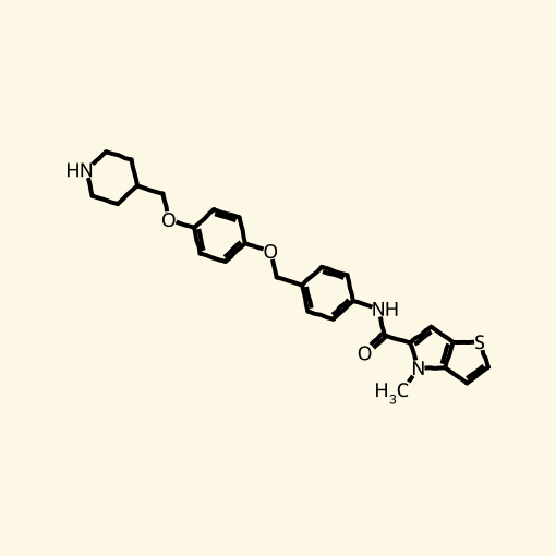 Cn1c(C(=O)Nc2ccc(COc3ccc(OCC4CCNCC4)cc3)cc2)cc2sccc21